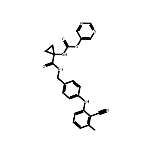 N#Cc1c(F)cccc1Nc1ccc(CNC(=O)C2(NC(=O)Oc3cncnc3)CC2)cc1